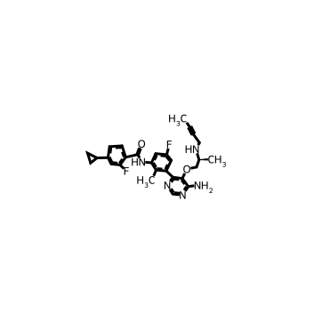 CC#CCN[C@@H](C)COc1c(N)ncnc1-c1cc(F)cc(NC(=O)c2ccc(C3CC3)cc2F)c1C